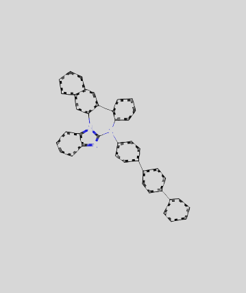 c1ccc(-c2ccc(-c3ccc(N4c5ccccc5-c5cc6ccccc6cc5-n5c4nc4ccccc45)cc3)cc2)cc1